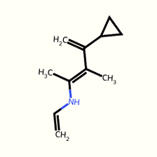 C=CN/C(C)=C(\C)C(=C)C1CC1